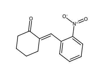 O=C1CCCC/C1=C\c1ccccc1[N+](=O)[O-]